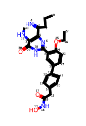 CCCC(=N)c1nc(-c2cc(-c3ccc(CC(=O)NO)cc3)ccc2OCC)[nH]c(=O)c1NC